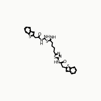 N=C(CCCCc1nnc(NC(=O)Cc2cc3ccccc3s2)s1)SC(=N)NC(=O)Cc1cc2ccccc2s1